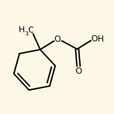 CC1(OC(=O)O)C=CC=CC1